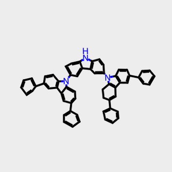 C1=C(c2ccccc2)CCc2c1c1cc(-c3ccccc3)ccc1n2-c1ccc2[nH]c3ccc(-n4c5ccc(-c6ccccc6)cc5c5cc(-c6ccccc6)ccc54)cc3c2c1